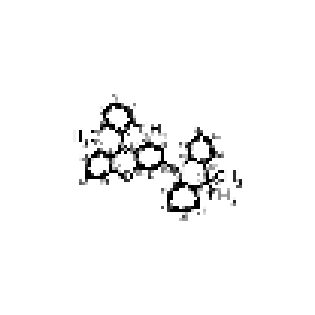 Cc1cccc(C)c1B1c2ccccc2Oc2cc(N3c4ccccc4C(C)(C)c4ccccc43)ccc21